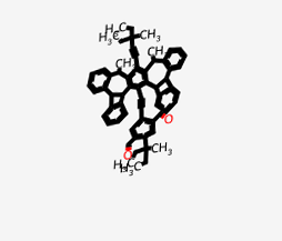 CCC(C)(C#Cc1c2c(c(C#Cc3cc(C=O)c(C(C)(CC)CC)cc3C=O)c3c1C(C)c1ccccc1C1c4ccccc4C31)C1c3ccccc3C1c1ccccc1C2C)CC